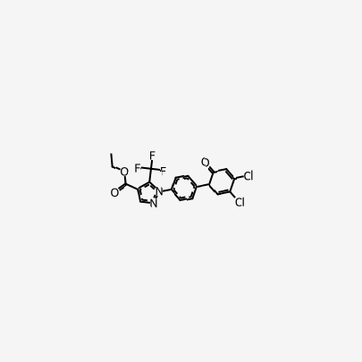 CCOC(=O)c1cnn(-c2ccc(C3C=C(Cl)C(Cl)=CC3=O)cc2)c1C(F)(F)F